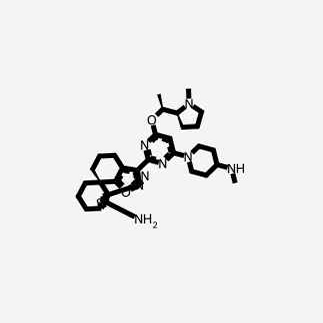 CNC1CCN(c2cc(O[C@@H](C)[C@@H]3CCCN3C)nc(-c3noc4c3CCC[C@@]43CCCc4sc(N)c(C#N)c43)n2)CC1